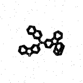 c1ccc2c(c1)-c1cc(N(c3ccc4ccccc4c3)c3ccc4oc5ccccc5c4c3)ccc1C21C2CC3CC(C2)CC1C3